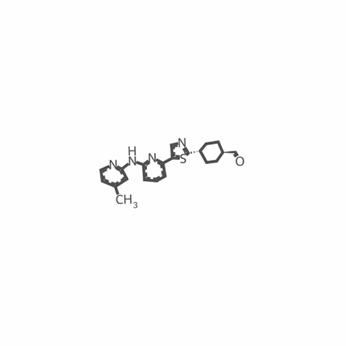 Cc1ccnc(Nc2cccc(-c3cnc([C@H]4CC[C@H](C=O)CC4)s3)n2)c1